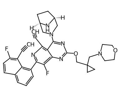 C#Cc1c(F)ccc2cccc(-c3nc(C#C)c4c(N5C[C@H]6CC[C@@H](C5)N6)nc(OCC5(CN6CCOCC6)CC5)nc4c3F)c12